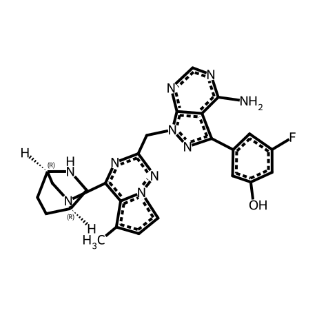 Cc1ccn2nc(Cn3nc(-c4cc(O)cc(F)c4)c4c(N)ncnc43)nc(N3C[C@H]4CC[C@@H]3CN4)c12